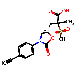 C#Cc1ccc(N2C[C@H](CC(C)(C(=O)O)S(C)(=O)=O)OC2=O)cc1